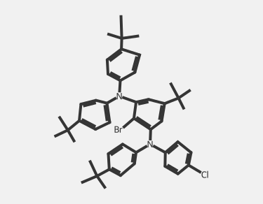 CC(C)(C)c1ccc(N(c2ccc(Cl)cc2)c2cc(C(C)(C)C)cc(N(c3ccc(C(C)(C)C)cc3)c3ccc(C(C)(C)C)cc3)c2Br)cc1